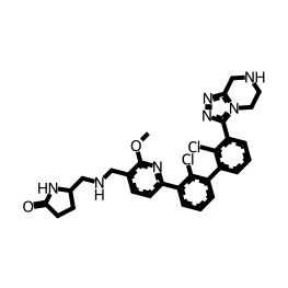 COc1nc(-c2cccc(-c3cccc(-c4nnc5n4CCNC5)c3Cl)c2Cl)ccc1CNCC1CCC(=O)N1